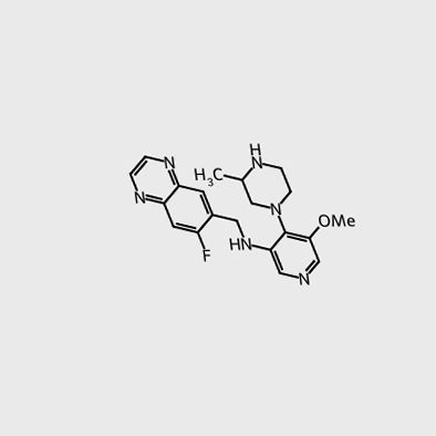 COc1cncc(NCc2cc3nccnc3cc2F)c1N1CCNC(C)C1